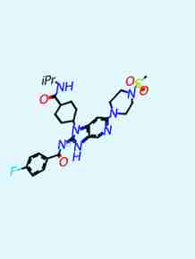 CC(C)NC(=O)C1CCC(n2/c(=N/C(=O)c3ccc(F)cc3)[nH]c3cnc(N4CCN(S(C)(=O)=O)CC4)cc32)CC1